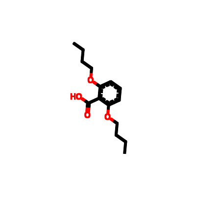 CCCCOc1cccc(OCCCC)c1C(=O)O